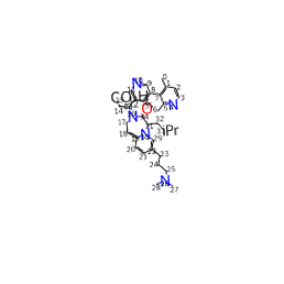 Cc1ccnc(C)c1-c1cncc([C@H](CC(=O)O)N2CC=C3C=CC(CCCN(C)C)=CN3C(CC(C)C)C2=O)c1